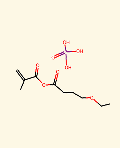 C=C(C)C(=O)OC(=O)CCCOCC.O=P(O)(O)O